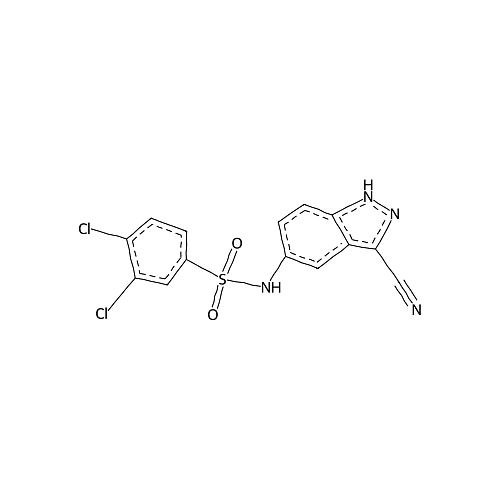 N#Cc1n[nH]c2ccc(NS(=O)(=O)c3ccc(Cl)c(Cl)c3)cc12